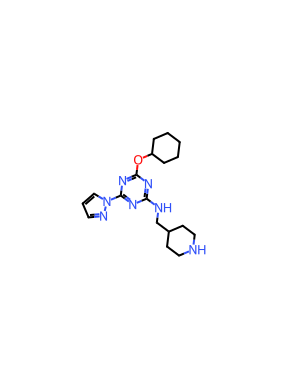 c1cnn(-c2nc(NCC3CCNCC3)nc(OC3CCCCC3)n2)c1